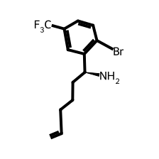 C=CCCC[C@H](N)c1cc(C(F)(F)F)ccc1Br